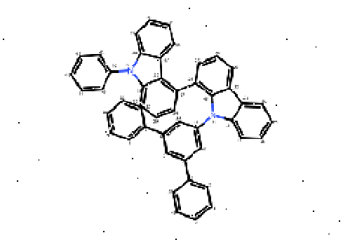 c1ccc(-c2cc(-c3ccccc3)cc(-n3c4ccccc4c4cccc(-c5cccc6c5c5ccccc5n6-c5ccccc5)c43)c2)cc1